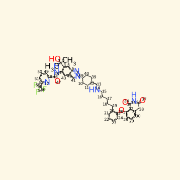 CC(C)(O)c1cc2nn([C@H]3CC[C@H](CNCCCCCc4ccccc4Oc4cccc5c4C(=O)NC(=O)C5)CC3)cc2cc1NC(=O)c1cccc(C(F)(F)F)n1